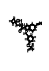 N#Cc1ccc2c(c1)cc(C(=O)NCC1(O)CCC1)n2Cc1cccc(OC(F)(F)F)c1